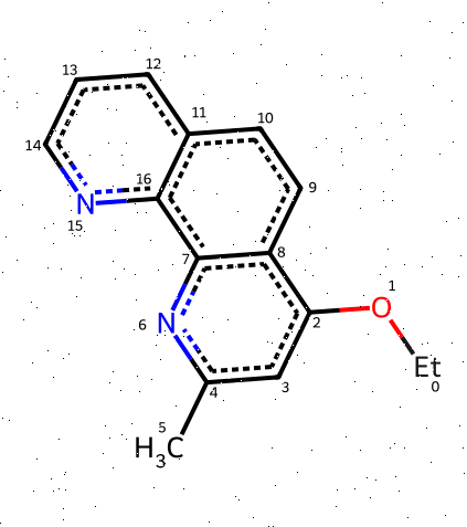 CCOc1cc(C)nc2c1ccc1cccnc12